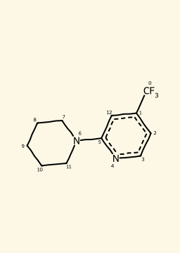 FC(F)(F)c1ccnc(N2CCCCC2)c1